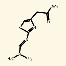 COC(=O)Cc1csc(N=CN(C)C)n1